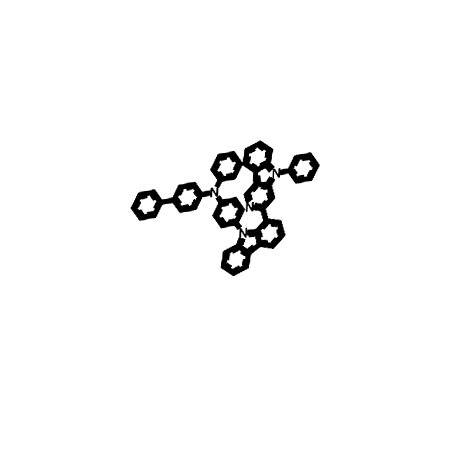 c1ccc(-c2ccc(N(c3ccccc3)c3ccc(-n4c5ccccc5c5cccc(-c6cc7c(cn6)c6ccccc6n7-c6ccccc6)c54)cc3)cc2)cc1